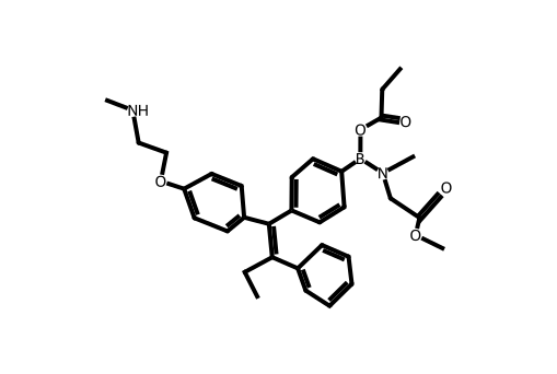 CCC(=O)OB(c1ccc(C(=C(CC)c2ccccc2)c2ccc(OCCNC)cc2)cc1)N(C)CC(=O)OC